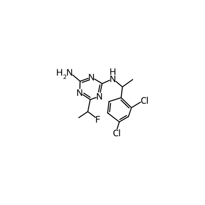 CC(F)c1nc(N)nc(NC(C)c2ccc(Cl)cc2Cl)n1